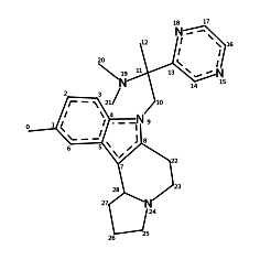 Cc1ccc2c(c1)c1c(n2CC(C)(c2cnccn2)N(C)C)CCN2CCCC12